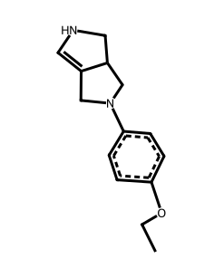 CCOc1ccc(N2CC3=CNCC3C2)cc1